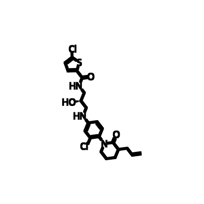 C=CCC1CCCN(c2ccc(NC[C@H](O)CNC(=O)c3ccc(Cl)s3)cc2Cl)C1=O